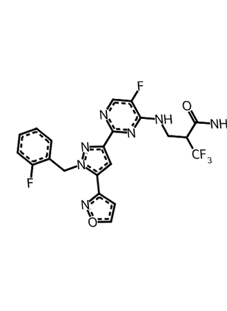 NC(=O)C(CNc1nc(-c2cc(-c3ccon3)n(Cc3ccccc3F)n2)ncc1F)C(F)(F)F